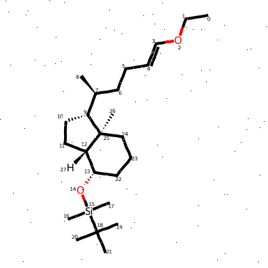 CCO/C=C/CC[C@H](C)[C@H]1CC[C@H]2[C@@H](O[Si](C)(C)C(C)(C)C)CCC[C@]12C